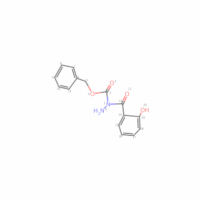 NN(C(=O)OCc1ccccc1)C(=O)c1ccccc1O